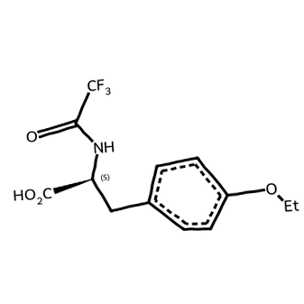 CCOc1ccc(C[C@H](NC(=O)C(F)(F)F)C(=O)O)cc1